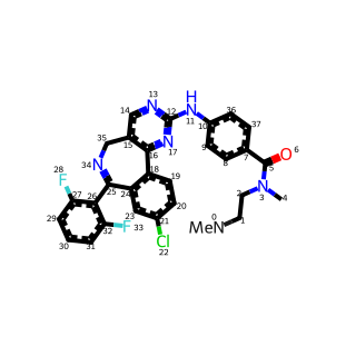 CNCCN(C)C(=O)c1ccc(Nc2ncc3c(n2)-c2ccc(Cl)cc2C(c2c(F)cccc2F)=NC3)cc1